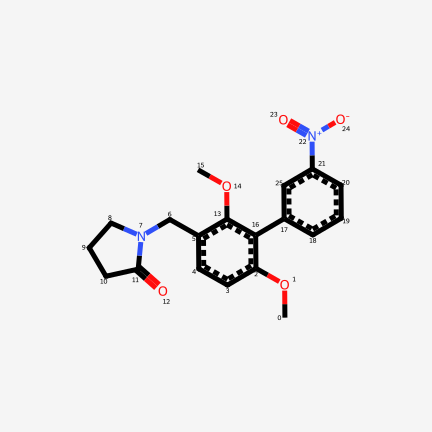 COc1ccc(CN2CCCC2=O)c(OC)c1-c1cccc([N+](=O)[O-])c1